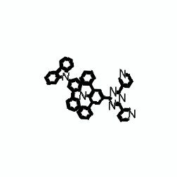 C1=C(c2nc(-c3cccnc3)nc(-c3cccnc3)n2)CC(c2ccccc2)C(n2c3ccccc3c3cc(-n4c5ccccc5c5ccccc54)ccc32)=C1c1ccccc1